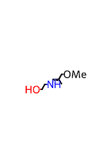 COC/C(C)=C/NCCO